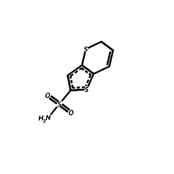 NS(=O)(=O)c1cc2c(s1)C=CCS2